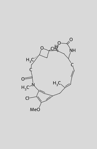 COc1cc2cc(c1Cl)N(C)C(=O)CC[C@]1(C)CC(C)(O1)[C@@H]1CC(C/C=C/C=C(\C)C2)NC(=O)O1